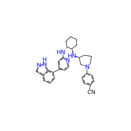 N#Cc1ccc(N2CCC[C@H](N[C@@H]3CCCC[C@H]3Nc3cc(-c4cccc5cn[nH]c45)ccn3)C2)cc1